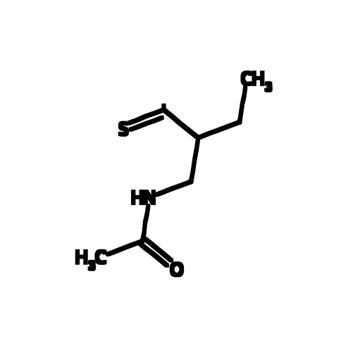 CCC([C]=S)CNC(C)=O